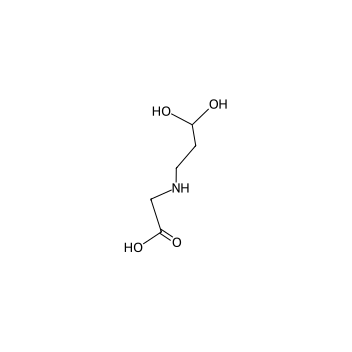 O=C(O)CNCCC(O)O